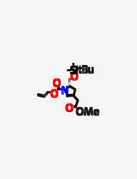 C=CCOC(=O)N1C=C(CC(=O)OC)C[C@H]1CO[Si](C)(C)C(C)(C)C